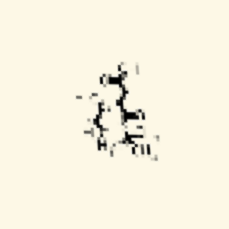 CC(C)(C)OC(=O)CCC(=O)O.CCCC